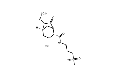 CS(=O)(=O)CCONC(=O)[C@@H]1CC[C@@H]2CN1C(=O)N2OS(=O)(=O)O.[Na]